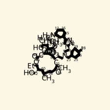 CCO[C@@H](O[C@H]1[C@@H](CCN(CCn2cc(-c3cccc(N)c3)nn2)Cc2ccc(I)cc2)C[C@@H](C)C(=O)/C=C/C(C)=C/[C@H](CO)[C@@H](CC)OC(=O)C[C@@H](O)[C@@H]1C)C(O)C([C@@H](C)O)N(C)C